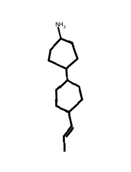 C/C=C/C1CCC(C2CCC(N)CC2)CC1